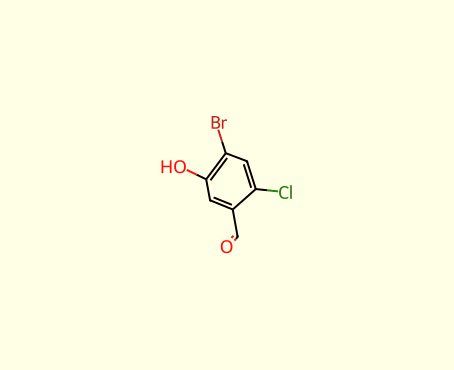 O=Cc1cc(O)c(Br)cc1Cl